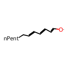 CCCCCCC=CC=CC=C[O]